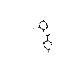 O=C(O)Nc1ccccc1NC(=O)c1ccc(Cl)nc1